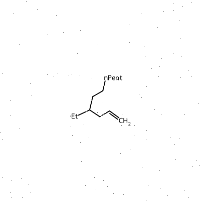 C=CCC([CH]C)CCCCCCC